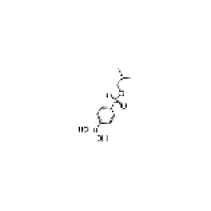 CC(C)COS(=O)(=O)c1ccc(B(O)O)cc1